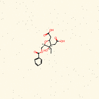 CC[C@@]1(O)[C@H](CC(=O)O)C(CC(=O)O)O[C@@H]1COC(=O)c1ccccc1